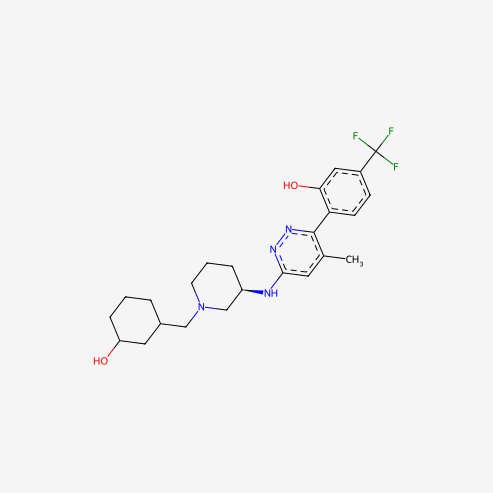 Cc1cc(N[C@@H]2CCCN(CC3CCCC(O)C3)C2)nnc1-c1ccc(C(F)(F)F)cc1O